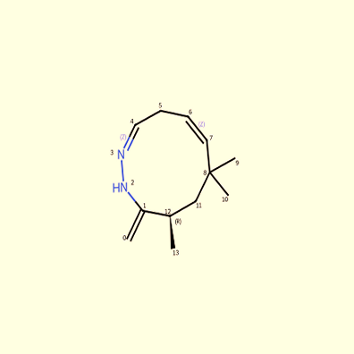 C=C1N/N=C\C/C=C\C(C)(C)C[C@H]1C